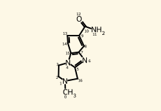 CN1CCn2c(nc3cc(C(N)=O)ccc32)C1